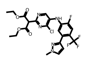 CCOC(=O)C(C(=O)OCC)c1ncc(Nc2cc(-c3ccn(C)n3)c(C(F)(F)F)cc2F)c(Cl)n1